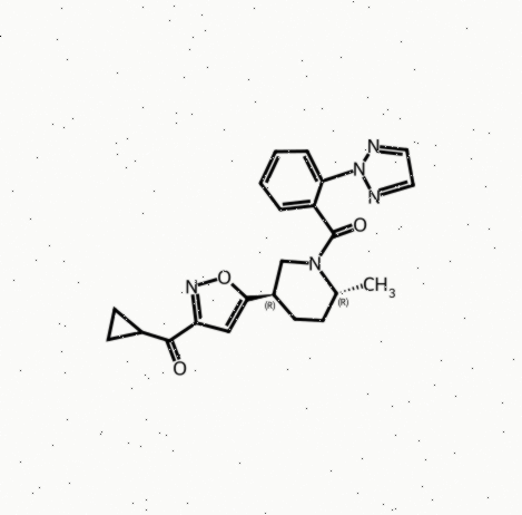 C[C@@H]1CC[C@@H](c2cc(C(=O)C3CC3)no2)CN1C(=O)c1ccccc1-n1nccn1